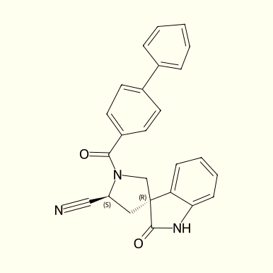 N#C[C@@H]1C[C@@]2(CN1C(=O)c1ccc(-c3ccccc3)cc1)C(=O)Nc1ccccc12